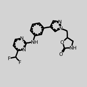 O=C1NCC(Cn2cc(-c3cccc(Nc4nccc(C(F)F)n4)c3)cn2)O1